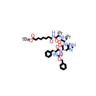 CC(C)C[C@H](NC(=O)[C@H](Cc1c[nH]cn1)NC(=O)[C@H](Cc1ccccc1)NC(=O)OCc1ccccc1)C(=O)N[C@H](C(=O)NC(=O)CCCCCCC(=O)OC(C)(C)C)C(C)C